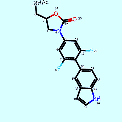 CC(=O)NCC1CN(c2cc(F)c(-c3ccc4[nH]ccc4c3)c(F)c2)C(=O)O1